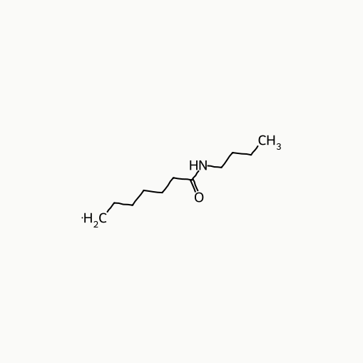 [CH2]CCCCCC(=O)NCCCC